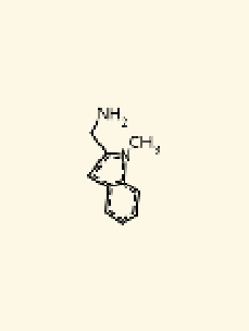 Cn1c(CN)cc2ccccc21